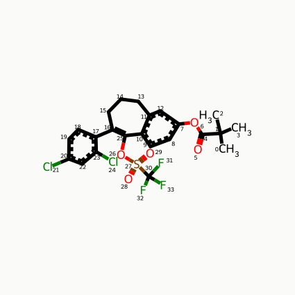 CC(C)(C)C(=O)Oc1ccc2c(c1)CCCC(c1ccc(Cl)cc1Cl)=C2OS(=O)(=O)C(F)(F)F